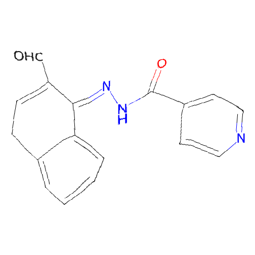 O=CC1=CCc2ccccc2C1=NNC(=O)c1ccncc1